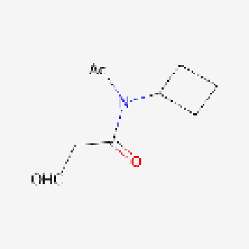 CC(=O)N(C(=O)CC=O)C1CCC1